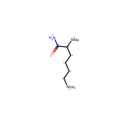 CC(=O)NCCCCC([15NH][13CH3])C(N)=O